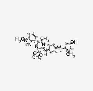 COC(=O)c1nc(-c2cccc3c2ncn3C)c(C)nc1Nc1ccc(OC[C@H]2C[C@H](O)CN2C)cc1